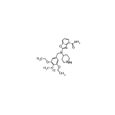 CCOc1cc(CN(c2nc3c(C(N)=O)[c]ccc3o2)C2CCNCC2)cc(OCC)c1[S+](C)[O-]